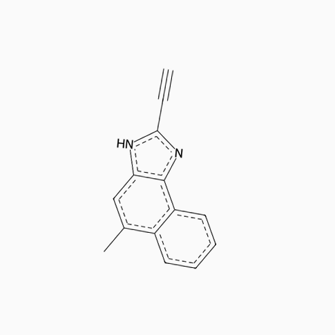 C#Cc1nc2c(cc(C)c3ccccc32)[nH]1